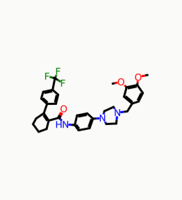 COc1ccc(CN2CCN(c3ccc(NC(=O)C4=C(c5ccc(C(F)(F)F)cc5)CCCC4)cc3)CC2)cc1OC